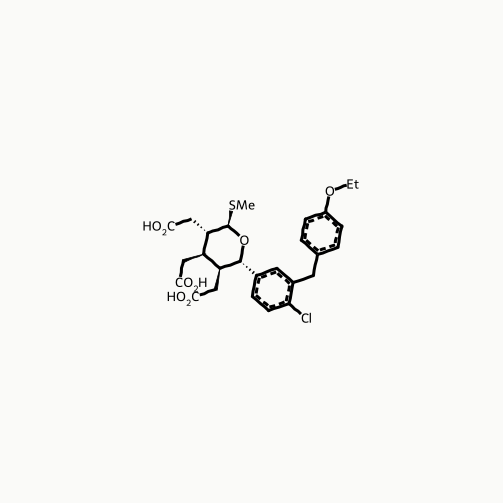 CCOc1ccc(Cc2cc([C@H]3O[C@H](SC)[C@@H](CC(=O)O)[C@H](CC(=O)O)[C@@H]3CC(=O)O)ccc2Cl)cc1